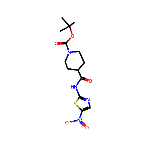 CC(C)(C)OC(=O)N1CCC(C(=O)Nc2ncc([N+](=O)[O-])s2)CC1